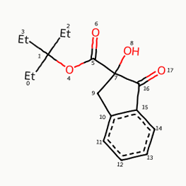 CCC(CC)(CC)OC(=O)C1(O)Cc2ccccc2C1=O